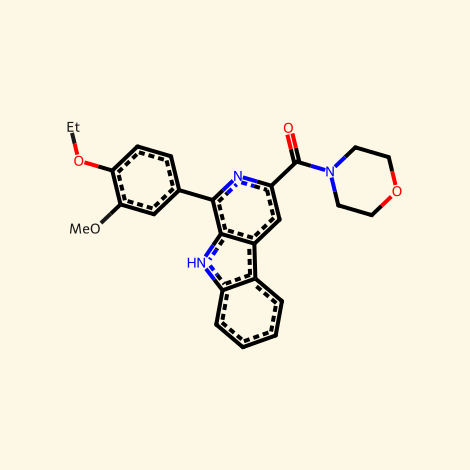 CCOc1ccc(-c2nc(C(=O)N3CCOCC3)cc3c2[nH]c2ccccc23)cc1OC